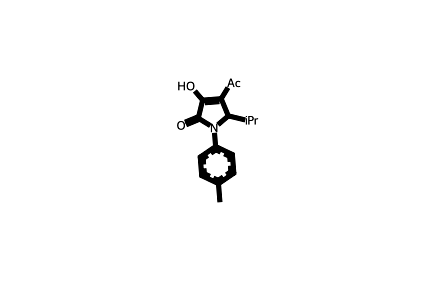 CC(=O)C1=C(O)C(=O)N(c2ccc(C)cc2)C1C(C)C